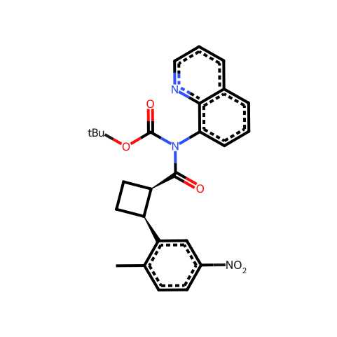 Cc1ccc([N+](=O)[O-])cc1[C@H]1CC[C@H]1C(=O)N(C(=O)OC(C)(C)C)c1cccc2cccnc12